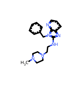 CN1CCN(CCNc2nc3cccnc3n2Cc2ccccc2)CC1